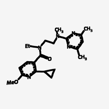 CCN(CCN(C)c1nc(C)cc(C)n1)C(=O)c1ccc(OC)nc1C1CC1